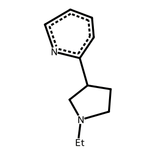 CCN1CCC(c2ccccn2)C1